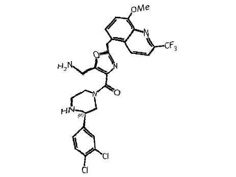 COc1ccc(-c2nc(C(=O)N3CCN[C@H](c4ccc(Cl)c(Cl)c4)C3)c(CN)o2)c2ccc(C(F)(F)F)nc12